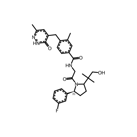 Cc1cc(Cc2ccc(C(=O)NCC(=O)N3C(C(C)(C)CO)CC[C@H]3c3cccc(F)c3)cc2C)c(=O)[nH]n1